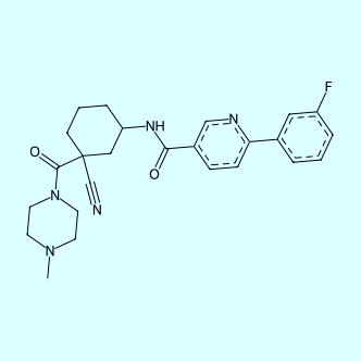 CN1CCN(C(=O)C2(C#N)CCCC(NC(=O)c3ccc(-c4cccc(F)c4)nc3)C2)CC1